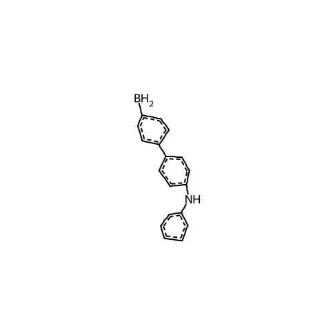 Bc1ccc(-c2ccc(Nc3ccccc3)cc2)cc1